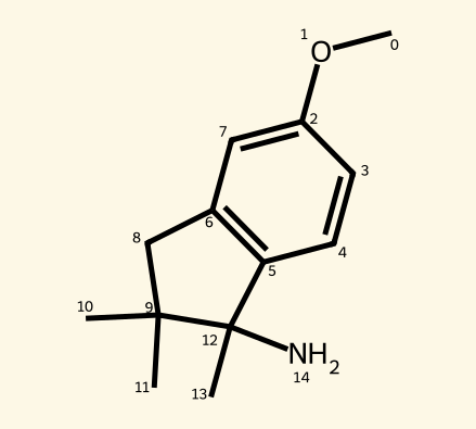 COc1ccc2c(c1)CC(C)(C)C2(C)N